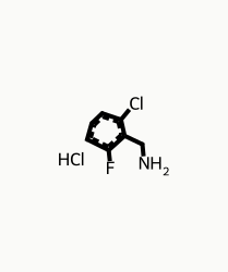 Cl.NCc1c(F)cccc1Cl